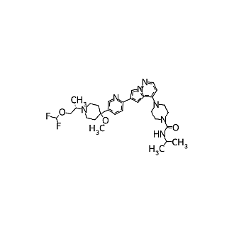 COC1(c2ccc(-c3cc4c(N5CCN(C(=O)NC(C)C)CC5)ccnn4c3)nc2)CCN([C@@H](C)COC(F)F)CC1